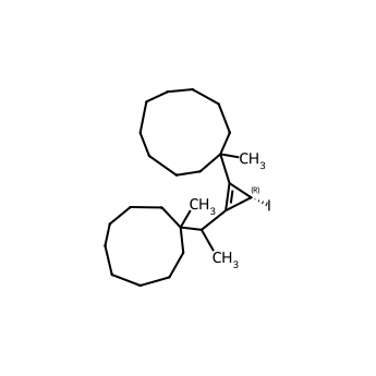 CC(C1=C(C2(C)CCCCCCCCC2)[C@@H]1I)C1(C)CCCCCCCC1